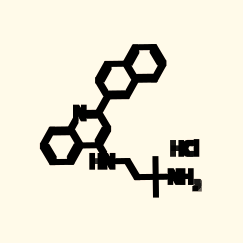 CC(C)(N)CCNc1cc(-c2ccc3ccccc3c2)nc2ccccc12.Cl